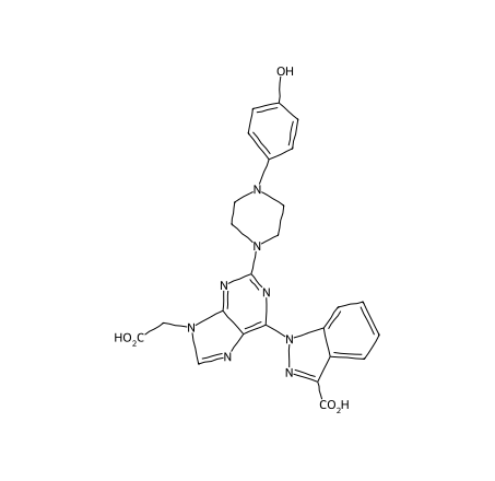 O=C(O)Cn1cnc2c(-n3nc(C(=O)O)c4ccccc43)nc(N3CCN(c4ccc(O)cc4)CC3)nc21